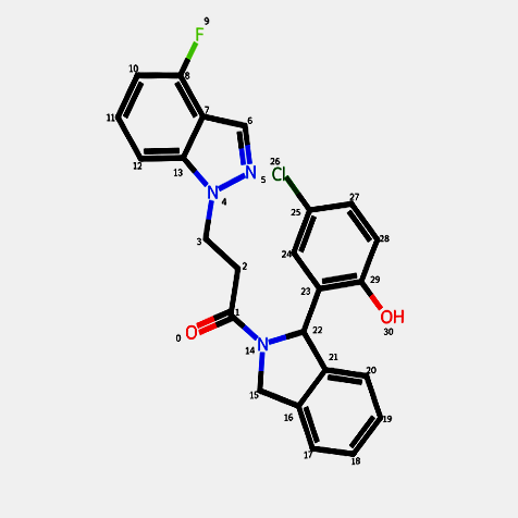 O=C(CCn1ncc2c(F)cccc21)N1Cc2ccccc2C1c1cc(Cl)ccc1O